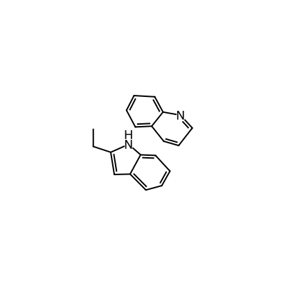 CCc1cc2ccccc2[nH]1.c1ccc2ncccc2c1